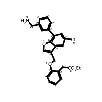 CCOC(=O)Cc1ccccc1OCc1coc2c(-c3cccc(CN)c3)cc(Cl)cc12